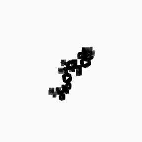 Cc1ccc(Nc2ncc(F)c(Nc3ccc(OC(C)(C)C(N)=O)cc3)n2)cc1S(N)(=O)=O